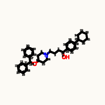 OC(CCCN1CCC(OC(c2ccccc2)c2ccccc2)CC1)c1ccc(C2CCCCC2)cc1